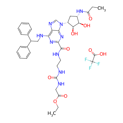 CCOC(=O)CNC(=O)NCCNC(=O)c1nc(NCC(c2ccccc2)c2ccccc2)c2ncn([C@@H]3C[C@H](NC(=O)CC)[C@@H](O)[C@H]3O)c2n1.O=C(O)C(F)(F)F